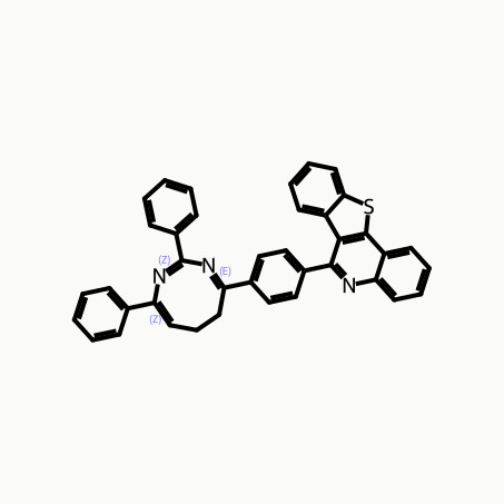 C1=C(c2ccccc2)/N=C(c2ccccc2)\N=C(\c2ccc(-c3nc4ccccc4c4sc5ccccc5c34)cc2)CC\1